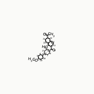 COc1ccc(N2CCN(C(=O)c3cnc4cc(C(C)=O)ccc4c3O)CC2)cc1